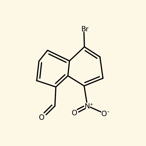 O=Cc1cccc2c(Br)ccc([N+](=O)[O-])c12